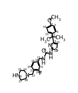 COc1ccc(C(C)(C)c2csc(NC(=O)NCc3ccc(CN4CCNCC4)c(F)c3)n2)cc1